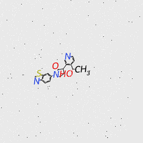 CC(O)c1ccncc1C1CCN(c2ccc3ncsc3c2)C1=O